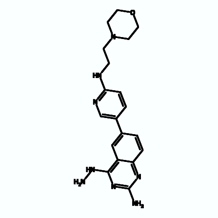 NNc1nc(N)nc2ccc(-c3ccc(NCCN4CCOCC4)nc3)cc12